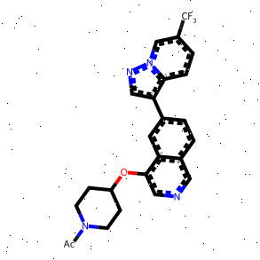 CC(=O)N1CCC(Oc2cncc3ccc(-c4cnn5cc(C(F)(F)F)ccc45)cc23)CC1